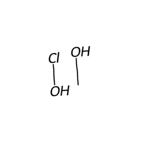 CO.OCl